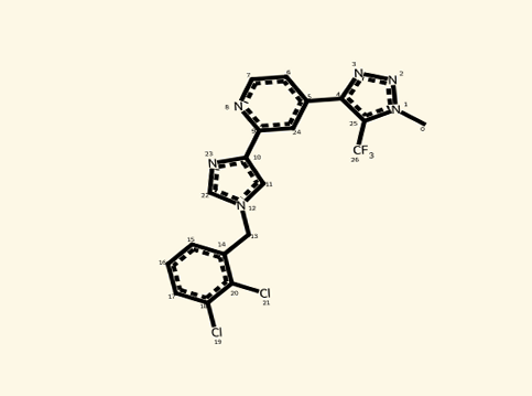 Cn1nnc(-c2ccnc(-c3cn(Cc4cccc(Cl)c4Cl)cn3)c2)c1C(F)(F)F